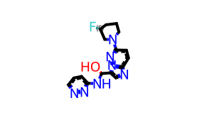 OC(Nc1cccnn1)c1cnc2ccc(N3CCC[C@H](F)C3)nn12